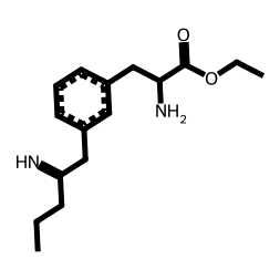 CCCC(=N)Cc1cccc(CC(N)C(=O)OCC)c1